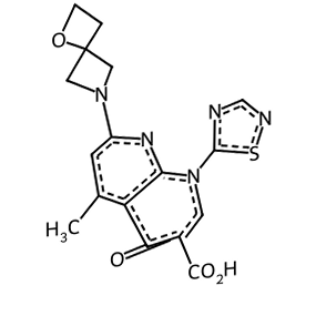 Cc1cc(N2CC3(CCO3)C2)nc2c1c(=O)c(C(=O)O)cn2-c1ncns1